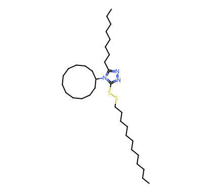 CCCCCCCCCCCCSSc1nnc(CCCCCCCC)n1C1CCCCCCCCCCC1